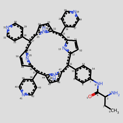 CCC(N)C(=O)Nc1ccc(-c2c3nc(c(-c4ccncc4)c4ccc([nH]4)c(-c4ccncc4)c4nc(c(-c5ccncc5)c5ccc2[nH]5)C=C4)C=C3)cc1